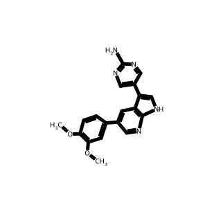 COc1ccc(-c2cnc3[nH]cc(-c4cnc(N)nc4)c3c2)cc1OC